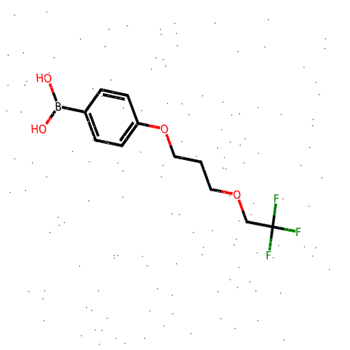 OB(O)c1ccc(OCCCOCC(F)(F)F)cc1